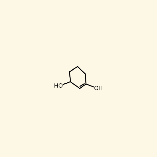 OC1=CC(O)CCC1